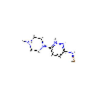 CN1CCN(c2ccc(N=S)nn2)CC1